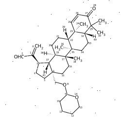 C=C(C=O)[C@@H]1CC[C@]2(COC3CCCCO3)CC[C@]3(C)[C@H](CC[C@@H]4[C@@]5(C)C=CC(=O)C(C)(C)[C@@H]5CC[C@]43C)[C@@H]12